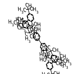 CC(C)(C)c1ccc(P(O)(O)(Oc2ccc(-c3ccc(OP(O)(O)(c4ccc(C(C)(C)C)cc4C(C)(C)C)c4ccc(C(C)(C)C)cc4C(C)(C)C)cc3)cc2)c2ccc(C(C)(C)C)cc2C(C)(C)C)c(C(C)(C)C)c1